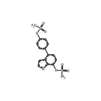 O=S(=O)(Oc1ccc(-c2ccc(OS(=O)(=O)C(F)(F)F)c3occc23)cc1)C(F)(F)F